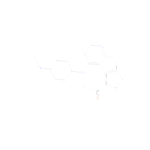 CN(C)C1CCC(NC2=c3c4c(sc3=NCN2)CCC4C(=O)O)CC1